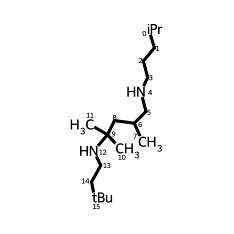 CC(C)CCCNCC(C)CC(C)(C)NCCC(C)(C)C